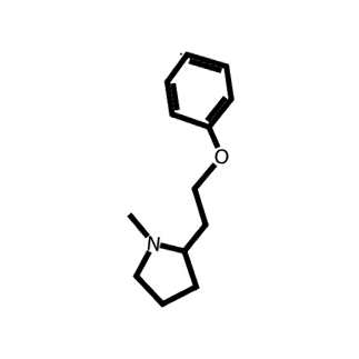 CN1CCCC1CCOc1cc[c]cc1